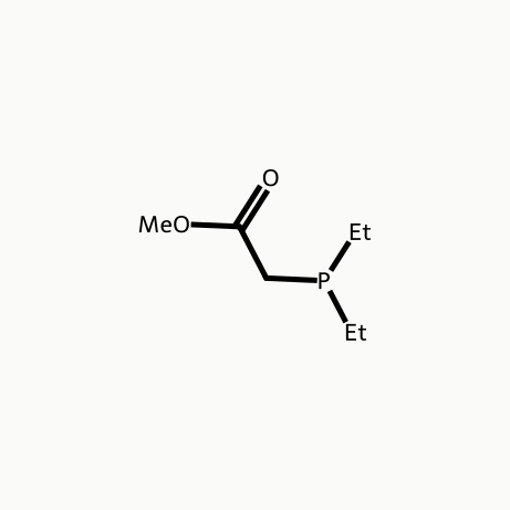 CCP(CC)CC(=O)OC